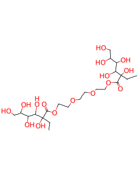 CCC(O)(C(=O)OCCOCCOCCOC(=O)C(O)(CC)C(O)C(O)C(O)CO)C(O)C(O)C(O)CO